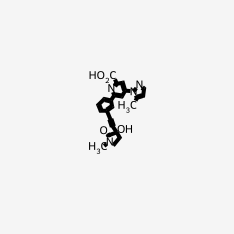 Cc1ccnn1-c1cc(C(=O)O)nc(-c2cccc(C#C[C@]3(O)CCN(C)C3=O)c2)c1